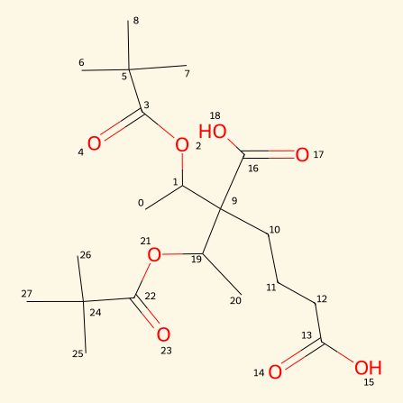 CC(OC(=O)C(C)(C)C)C(CCCC(=O)O)(C(=O)O)C(C)OC(=O)C(C)(C)C